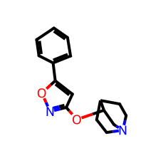 c1ccc(-c2cc(OC3CN4CCC3CC4)no2)cc1